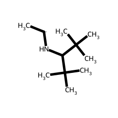 C[CH]NC(C(C)(C)C)C(C)(C)C